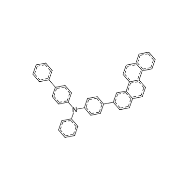 c1ccc(-c2ccc(N(c3ccccc3)c3ccc(-c4ccc5ccc6c7ccccc7ccc6c5c4)cc3)cc2)cc1